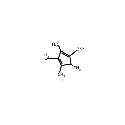 CC1=C(C)C(C)[C]([Zr+2])=C1C.[I-].[I-]